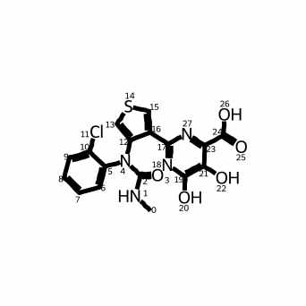 CNC(=O)N(c1ccccc1Cl)c1cscc1-c1nc(O)c(O)c(C(=O)O)n1